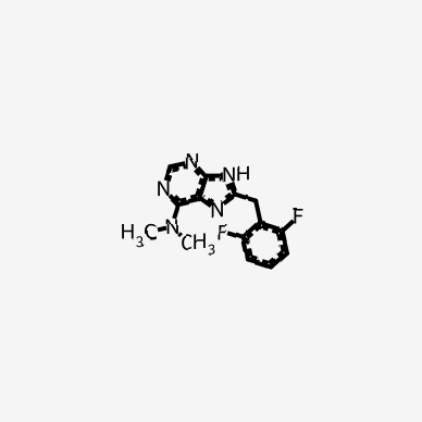 CN(C)c1ncnc2[nH]c(Cc3c(F)cccc3F)nc12